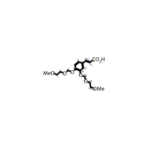 COCCOCOc1ccc(/C=C/C(=O)O)cc1OCOCCOC